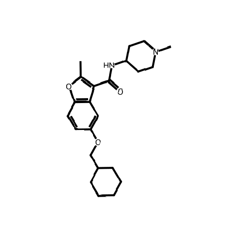 Cc1oc2ccc(OCC3CCCCC3)cc2c1C(=O)NC1CCN(C)CC1